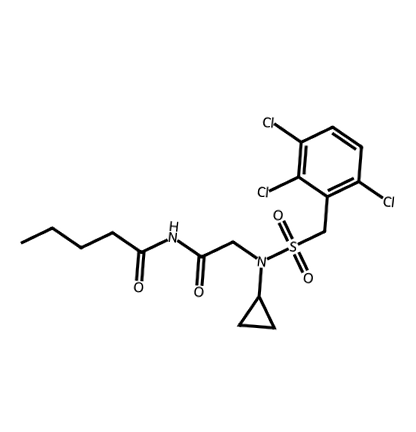 CCCCC(=O)NC(=O)CN(C1CC1)S(=O)(=O)Cc1c(Cl)ccc(Cl)c1Cl